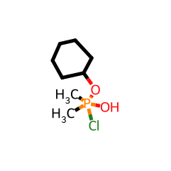 CP(C)(O)(Cl)OC1CCCCC1